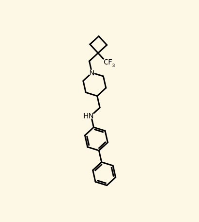 FC(F)(F)C1(CN2CCC(CNc3ccc(-c4ccccc4)cc3)CC2)CCC1